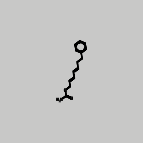 NC(=O)OCC=CC=CCCc1ccccc1